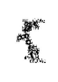 COC(=O)N[C@H](C(=O)N1CC(F)(F)CC1c1ncc(-c2ccc(-c3ccc(-c4cnc([C@@H]5CC(F)(F)CN5C(=O)[C@@H](NC(=O)OC)C(C)C)[nH]4)c4c3CC3(CCCC3)C4)cc2)[nH]1)C(C)C